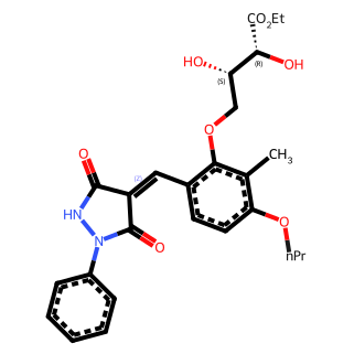 CCCOc1ccc(/C=C2/C(=O)NN(c3ccccc3)C2=O)c(OC[C@H](O)[C@@H](O)C(=O)OCC)c1C